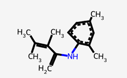 C=C(Nc1ccc(C)cc1C)C(C)=C(C)C